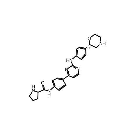 O=C(Nc1ccc(-c2ccnc(Nc3ccc([C@H]4CNCCO4)cc3)n2)cc1)C1CCCN1